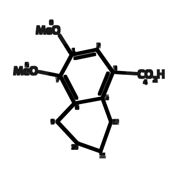 COc1cc(C(=O)O)c2c(c1OC)CCCC2